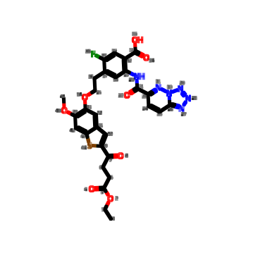 CCOC(=O)CCC(=O)c1cc2cc(OCCc3cc(NC(=O)c4ccc5nnnn5n4)c(C(=O)O)cc3F)c(OC)cc2s1